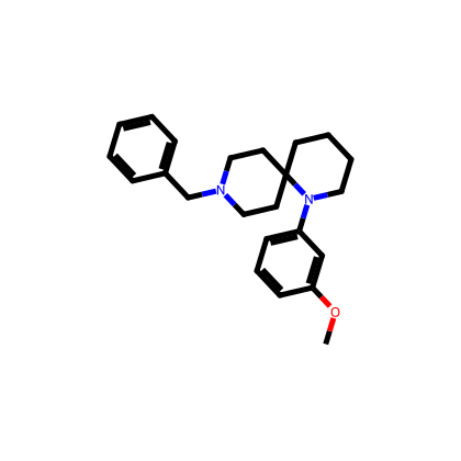 COc1cccc(N2CCCCC23CCN(Cc2ccccc2)CC3)c1